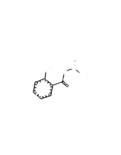 C=C(O[PH](=O)O)c1ccccc1C